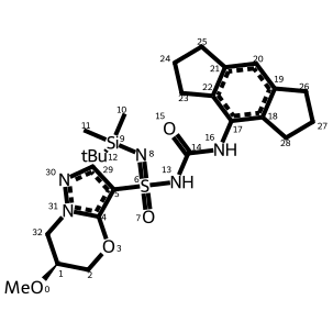 CO[C@@H]1COc2c(S(=O)(=N[Si](C)(C)C(C)(C)C)NC(=O)Nc3c4c(cc5c3CCC5)CCC4)cnn2C1